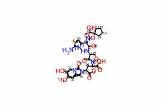 Nc1nc(/C(=N/OC2(C(=O)O)CCCC2)C(=O)N[C@H]2CON(C3(C(=O)O)CC(n4cc5cc(O)c(O)cn5c4=O)C(=O)O3)C2=O)cs1